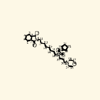 O=C1c2ccccc2C(=O)N1CCCCCCCCN(CCCN1CCOCC1)S(=O)(=O)C1CCCC1